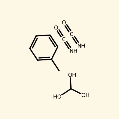 Cc1ccccc1.N=C=O.N=C=O.OC(O)O